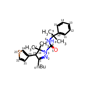 CCCCC1=NN(C(=O)NC(C)(C)c2ccccc2)C(C)(C)C1c1ccsc1